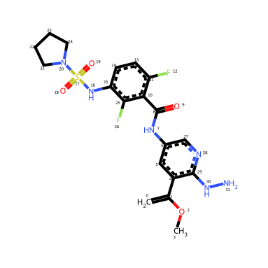 C=C(OC)c1cc(NC(=O)c2c(F)ccc(NS(=O)(=O)N3CCCC3)c2F)cnc1NN